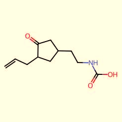 C=CCC1CC(CCNC(=O)O)CC1=O